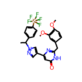 COc1ccc(Cc2nc(-c3cnn(C(C)c4ccc(S(F)(F)(F)(F)F)cc4)c3)cc(=O)[nH]2)cc1OC